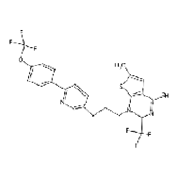 [2H]C1=NC(C(F)(F)F)N(CCCc2ccc(-c3ccc(OC(F)(F)F)cc3)nc2)c2sc(C)cc21